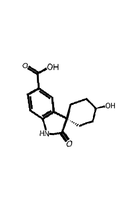 O=C(O)c1ccc2c(c1)[C@]1(CC[C@H](O)CC1)C(=O)N2